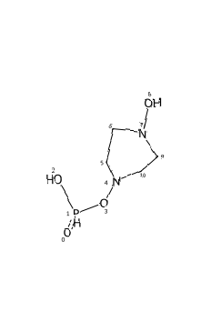 O=[PH](O)ON1CCN(O)CC1